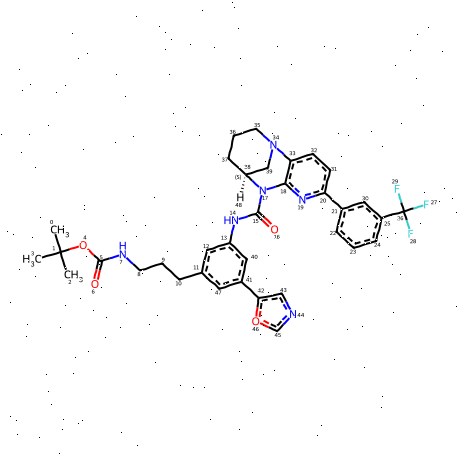 CC(C)(C)OC(=O)NCCCc1cc(NC(=O)N2c3nc(-c4cccc(C(F)(F)F)c4)ccc3N3CCC[C@H]2C3)cc(-c2cnco2)c1